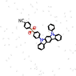 N#Cc1ccc(S(=O)(=O)c2ccc(-n3c4ccccc4c4cc5c6ccccc6n(-c6ccccc6)c5cc43)cc2)cc1